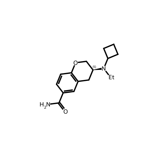 CCN(C1CCC1)[C@@H]1COc2ccc(C(N)=O)cc2C1